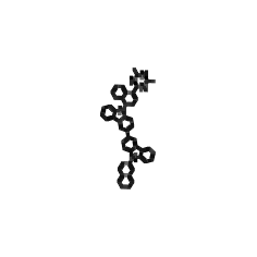 Cc1nc(C)nc(-c2ccc(-n3c4ccccc4c4cc(-c5ccc6c(c5)c5ccccc5n6-c5ccc6ccccc6c5)ccc43)c3ccccc23)n1